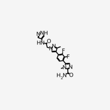 Cc1nn(CC(=O)Nc2cn[nH]c2)cc1-c1ccc(-c2cnc(C(N)=O)n2C)c(F)c1F